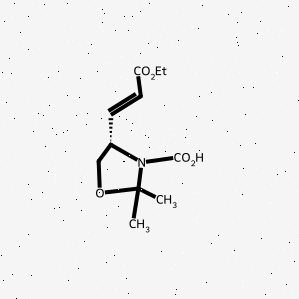 CCOC(=O)/C=C/[C@H]1COC(C)(C)N1C(=O)O